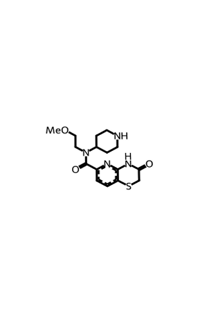 COCCN(C(=O)c1ccc2c(n1)NC(=O)CS2)C1CCNCC1